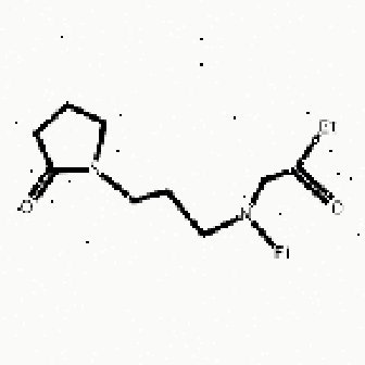 CCC(=O)CN(CC)CCCN1CCCC1=O